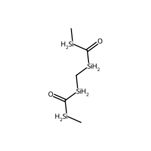 C[SiH2]C(=O)[SiH2]C[SiH2]C(=O)[SiH2]C